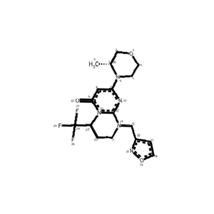 C[C@@H]1COCCN1c1cc(=O)n2c(n1)N(Cc1ccon1)CCC2C(F)(F)F